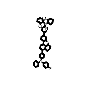 Cc1ccccc1N(c1ccc(-c2ccc3c(c2)Sc2cccc4c(-c5ccc(N(c6ccccc6)c6ccc(F)cc6)cc5)ccc-3c24)cn1)c1ccccc1C